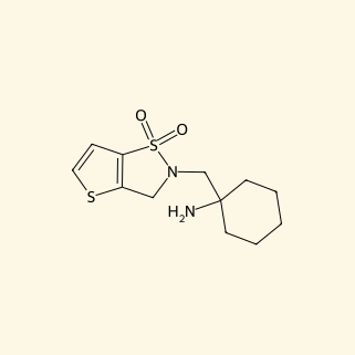 NC1(CN2Cc3sccc3S2(=O)=O)CCCCC1